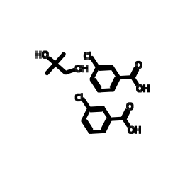 CC(C)(O)CO.O=C(O)c1cccc(Cl)c1.O=C(O)c1cccc(Cl)c1